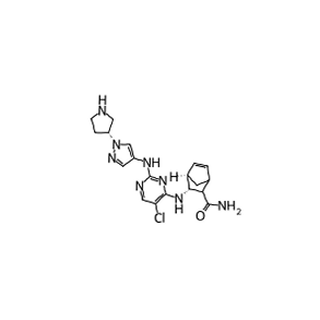 NC(=O)C1C2C=C[C@@H](C2)[C@H]1Nc1nc(Nc2cnn([C@@H]3CCNC3)c2)ncc1Cl